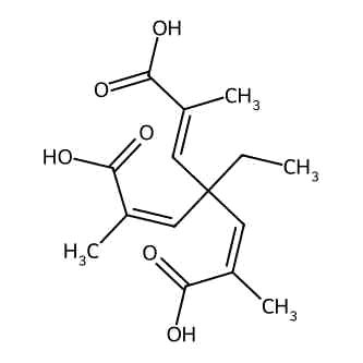 CCC(C=C(C)C(=O)O)(C=C(C)C(=O)O)C=C(C)C(=O)O